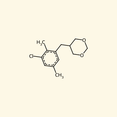 Cc1cc(Cl)c(C)c(CC2COCOC2)c1